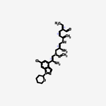 C=NN(/C=C(\N)c1cc(Cl)cc2c1cnn2C1CCCCO1)C/C(N)=C/NC(=C)/C=C\C(C=O)=C/C